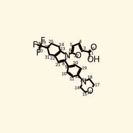 O=C(O)c1ccc(-n2c(-c3ccc(N4CCOCC4)cc3)cc3c2CCC(C(F)(F)F)C3)o1